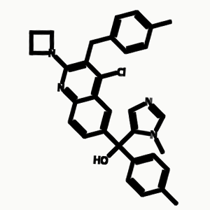 Cc1ccc(Cc2c(N3CCC3)nc3ccc(C(O)(c4ccc(C)cc4)c4cncn4C)cc3c2Cl)cc1